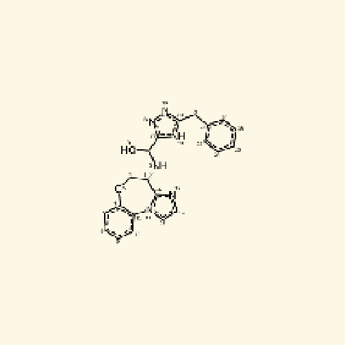 OC(N[C@H]1COc2ccccc2-n2ccnc21)c1nnc(Cc2ccccc2)[nH]1